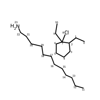 CCC1CCCCC1(Cl)CC.CCCCCCCCCCCCN